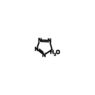 C1N=NN=N1.O